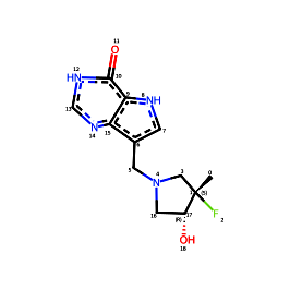 C[C@]1(F)CN(Cc2c[nH]c3c(=O)[nH]cnc23)C[C@H]1O